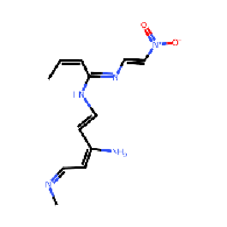 C\C=C/C(=N\C=C\[N+](=O)[O-])N/C=C/C(N)=C\C=N/C